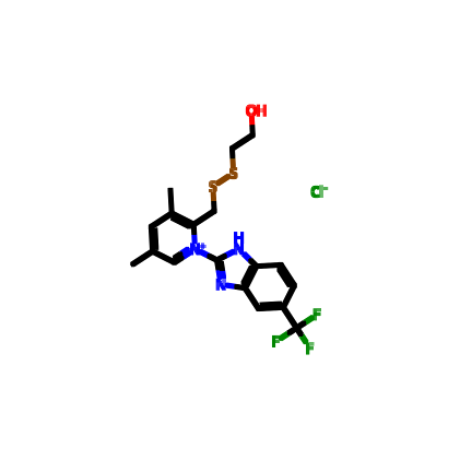 Cc1cc(C)c(CSSCCO)[n+](-c2nc3cc(C(F)(F)F)ccc3[nH]2)c1.[Cl-]